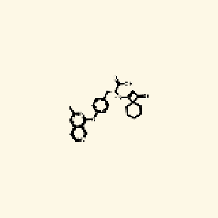 Cc1cc2ccncc2c(Oc2ccc(C[C@H](NC3=CC(=O)C34CCCCC4)C(=O)O)cc2)n1